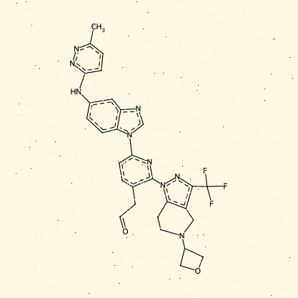 Cc1ccc(Nc2ccc3c(c2)ncn3-c2ccc(CC=O)c(-n3nc(C(F)(F)F)c4c3CCN(C3COC3)C4)n2)nn1